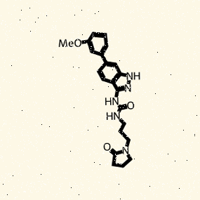 COc1cccc(-c2ccc3c(NC(=O)NCCCN4CCCC4=O)n[nH]c3c2)c1